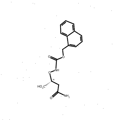 NC(=O)C[C@@H](ONC(=O)OCc1cccc2ccccc12)C(=O)O